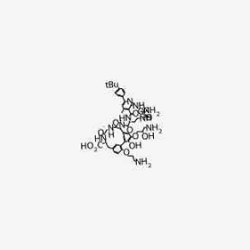 Cc1cc(-c2ccc(C(C)(C)C)cc2)nc(N)c1C(=O)N[C@@H](CCNS(N)(=O)=O)C(=O)N(C)[C@@H]1C(=O)N[C@@H](C)C(=O)N[C@H](C(=O)O)Cc2ccc(OCCCN)c(c2)-c2cc1cc(OC[C@H](O)CN)c2O